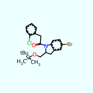 CC(C)(C)[Si](C)(C)OCC1Cc2cc(Br)ccc2N1C(=O)Cc1ccccc1Cl